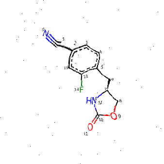 N#Cc1ccc(C[C@H]2COC(=O)N2)c(F)c1